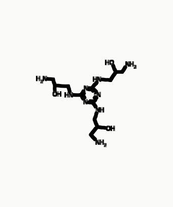 NCC(O)CNc1nc(NCC(O)CN)nc(NCC(O)CN)n1